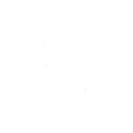 O=C1c2c(ccc(Cl)c2F)CC1Br